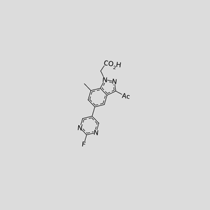 CC(=O)c1nn(CC(=O)O)c2c(C)cc(-c3cnc(F)nc3)cc12